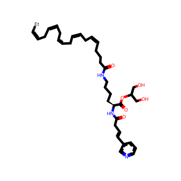 CC/C=C\C/C=C\C/C=C\C/C=C\C/C=C\CCCC(=O)NCCCC[C@H](NC(=O)C/C=C/c1cccnc1)C(=O)OC(CO)CO